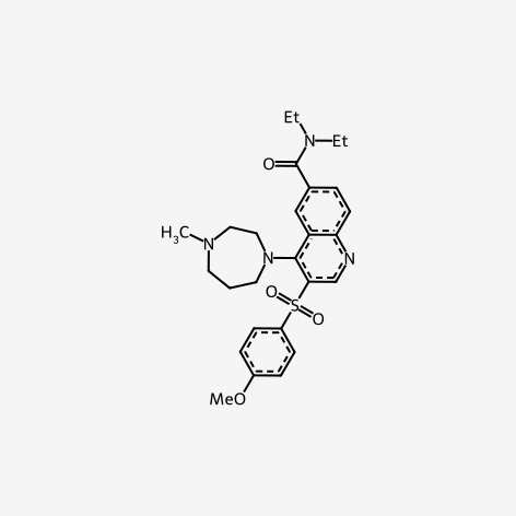 CCN(CC)C(=O)c1ccc2ncc(S(=O)(=O)c3ccc(OC)cc3)c(N3CCCN(C)CC3)c2c1